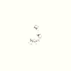 Cc1cccnc1[C@@H]1CCC[C@H](c2cccc(CCc3ccccn3)n2)N1